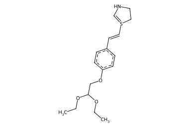 CCOC(COc1ccc(C=CS2=CNCC2)cc1)OCC